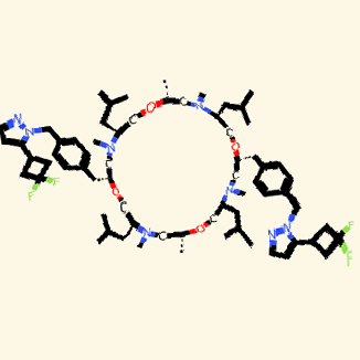 CC(C)CC1CO[C@H](C)CN(C)[C@@H](CC(C)C)CO[C@H](Cc2ccc(Cn3nccc3C3CC(F)(F)C3)cc2)CN(C)[C@@H](CC(C)C)CO[C@H](C)CN(C)[C@@H](CC(C)C)CO[C@H](Cc2ccc(Cn3nccc3C3CC(F)(F)C3)cc2)CN1C